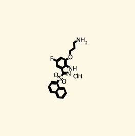 Cl.NCCCOc1cc(F)cc2c(S(=O)(=O)c3cccc4ccccc34)n[nH]c12